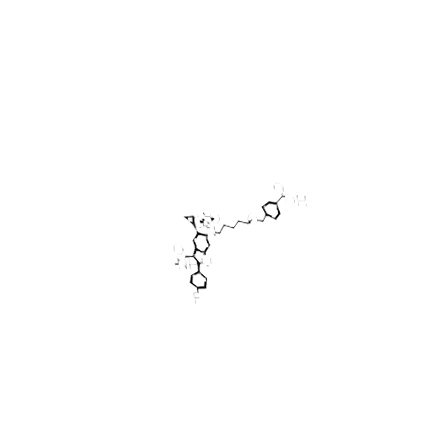 CNC(=O)c1c(-c2ccc(F)cc2)oc2cc(N(CCCCCOCc3ccc(C(=O)O)cc3)S(C)(=O)=O)c(C3CC3)cc12